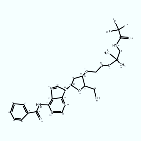 CC(C)(CNC(=O)C(F)(F)F)SSCO[C@@H]1C[C@H](n2cnc3c(NC(=O)c4ccccc4)ncnc32)OC1CO